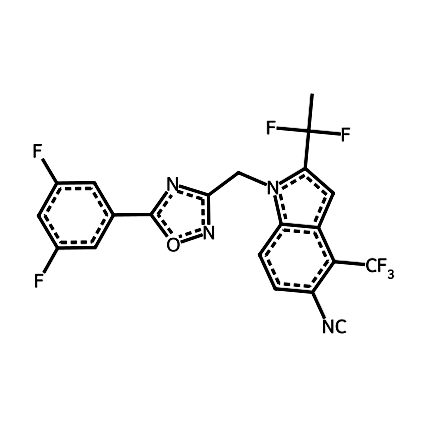 [C-]#[N+]c1ccc2c(cc(C(C)(F)F)n2Cc2noc(-c3cc(F)cc(F)c3)n2)c1C(F)(F)F